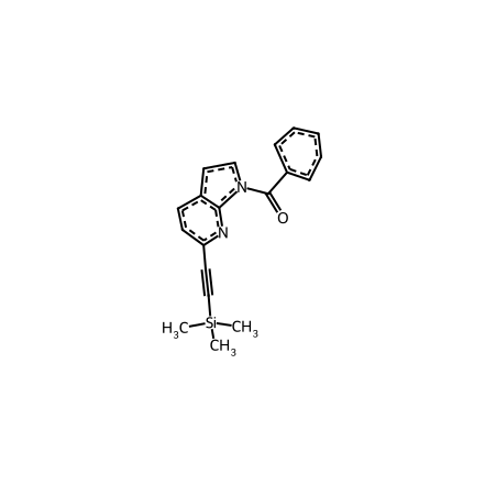 C[Si](C)(C)C#Cc1ccc2ccn(C(=O)c3ccccc3)c2n1